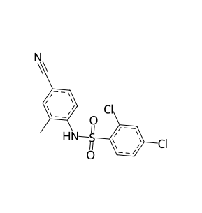 Cc1cc(C#N)ccc1NS(=O)(=O)c1ccc(Cl)cc1Cl